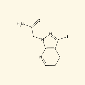 NC(=O)Cn1nc(I)c2c1N=CCC2